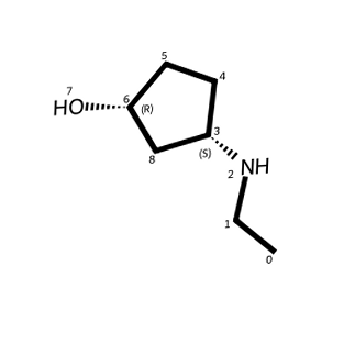 CCN[C@H]1CC[C@@H](O)C1